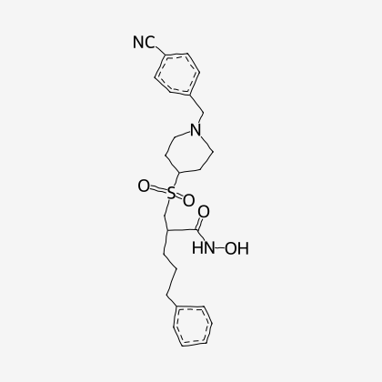 N#Cc1ccc(CN2CCC(S(=O)(=O)CC(CCCc3ccccc3)C(=O)NO)CC2)cc1